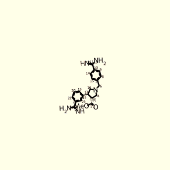 COC(=O)[C@H]1CN(Cc2ccc(C(=N)N)cc2)C[C@@H]1c1cccc(C(=N)N)c1